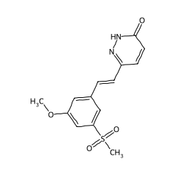 COc1cc(C=Cc2ccc(=O)[nH]n2)cc(S(C)(=O)=O)c1